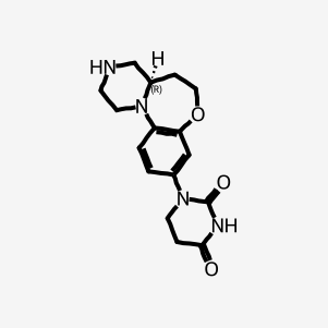 O=C1CCN(c2ccc3c(c2)OCC[C@@H]2CNCCN32)C(=O)N1